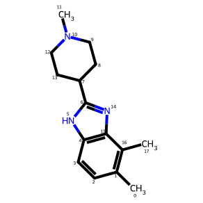 Cc1ccc2[nH]c(C3CCN(C)CC3)nc2c1C